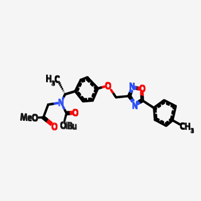 COC(=O)CN(C(=O)OCC(C)C)[C@H](C)c1ccc(OCc2noc(-c3ccc(C)cc3)n2)cc1